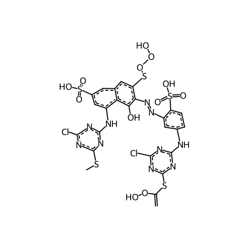 C=C(OO)Sc1nc(Cl)nc(Nc2ccc(S(=O)(=O)O)c(N=Nc3c(SOOO)cc4cc(S(=O)(=O)O)cc(Nc5nc(Cl)nc(SC)n5)c4c3O)c2)n1